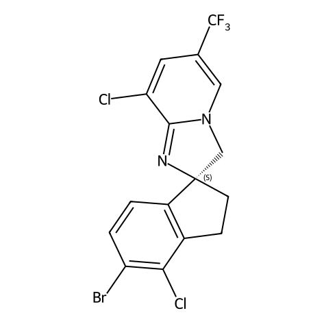 FC(F)(F)C1=CN2C[C@@]3(CCc4c3ccc(Br)c4Cl)N=C2C(Cl)=C1